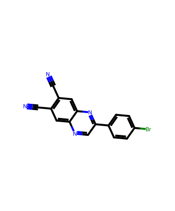 N#Cc1cc2ncc(-c3ccc(Br)cc3)nc2cc1C#N